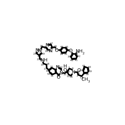 C[C@H](CC(=O)N1CCC(O)(Cn2cnc3cc(CCCNCc4cnn(Cc5cnc(COc6ccc(Oc7ccccc7N)cc6)cn5)c4)ccc3c2=O)CC1)c1ccccc1